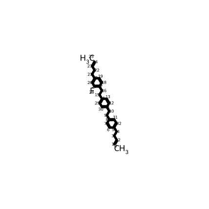 C/C=C/CCc1ccc(CCc2ccc(CCc3ccc(CC/C=C/C)cc3F)cc2)cc1